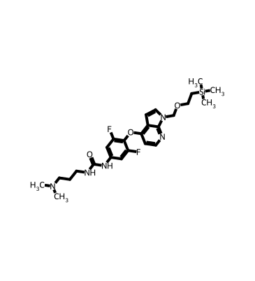 CN(C)CCCNC(=O)Nc1cc(F)c(Oc2ccnc3c2ccn3COCC[Si](C)(C)C)c(F)c1